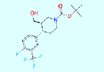 CC(C)(C)OC(=O)N1CC[C@H](c2ccc(F)c(C(F)(F)F)c2)[C@@H](CO)C1